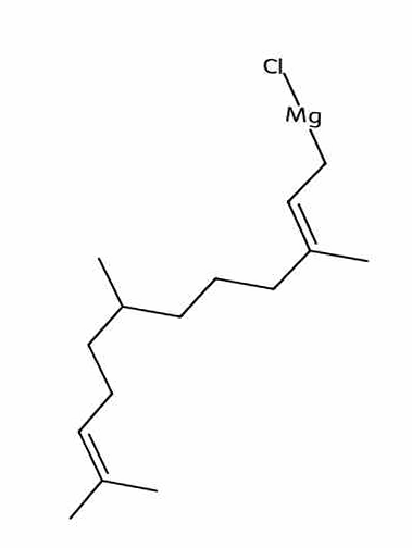 CC(C)=CCCC(C)CCCC(C)=C[CH2][Mg][Cl]